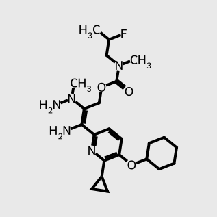 CC(F)CN(C)C(=O)OC/C(=C(/N)c1ccc(OC2CCCCC2)c(C2CC2)n1)N(C)N